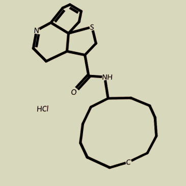 Cl.O=C(NC1CCCCCCCCCCC1)C1CSC23CC=CC=C2N=CCC13